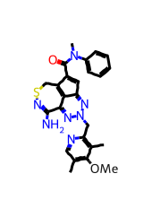 COc1c(C)cnc(Cn2nc3cc(C(=O)N(C)c4ccccc4)c4c-3c(n2)C(N)=NSC4)c1C